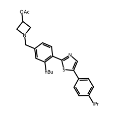 CCCCc1cc(CN2CC(OC(C)=O)C2)ccc1-c1ncc(-c2ccc(C(C)C)cc2)s1